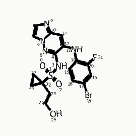 O=S(=O)(Nc1nn2ccnc2cc1Nc1ccc(Br)cc1F)C1(CCO)CC1